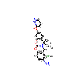 CC1(C)c2ccc(Oc3cccnn3)cc2OC(=O)N1Cc1cccc(N)c1F